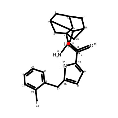 NC(=O)C12CC3CC(C1)C(NC(=O)c1ccc(Cc4ccccc4F)[nH]1)C(C3)C2